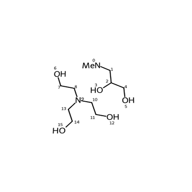 CNCC(O)CO.OCCN(CCO)CCO